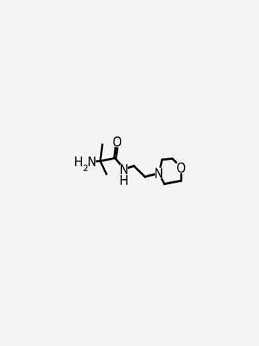 CC(C)(N)C(=O)NCCN1CCOCC1